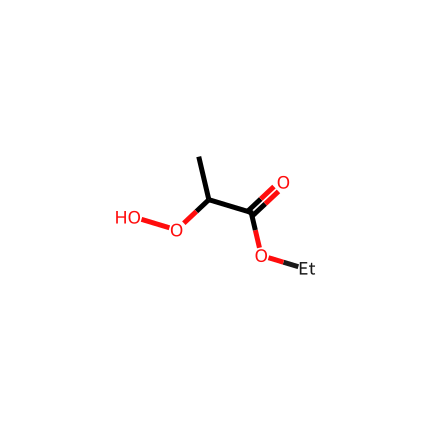 CCOC(=O)C(C)OO